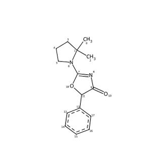 CC1(C)CCCN1C1=NC(=O)C(c2ccccc2)O1